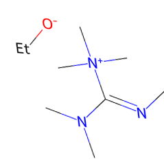 CC[O-].CN=C(N(C)C)[N+](C)(C)C